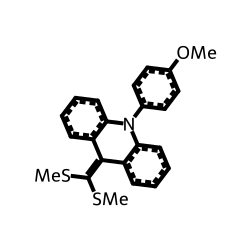 COc1ccc(N2c3ccccc3C(=C(SC)SC)c3ccccc32)cc1